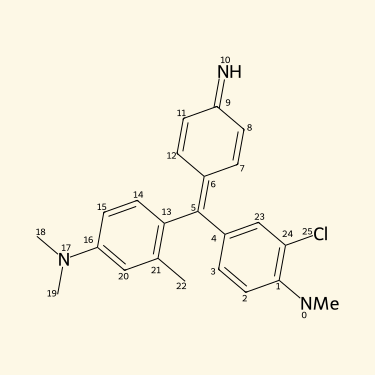 CNc1ccc(C(=C2C=CC(=N)C=C2)c2ccc(N(C)C)cc2C)cc1Cl